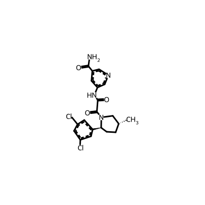 C[C@@H]1CC[C@@H](c2cc(Cl)cc(Cl)c2)N(C(=O)C(=O)Nc2cncc(C(N)=O)c2)C1